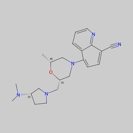 C[C@@H]1CN(c2ccc(C#N)c3ncccc23)C[C@H](CN2CC[C@H](N(C)C)C2)O1